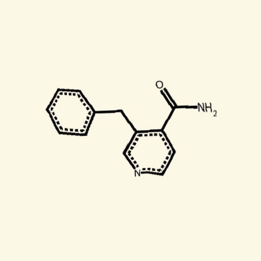 NC(=O)c1ccncc1Cc1ccccc1